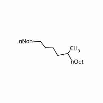 [CH2]CCCCCCCCCCCCC(C)CCCCCCC[CH2]